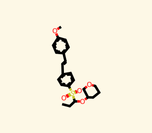 CCC(OC1CCCOC1)S(=O)(=O)c1ccc(C=Cc2ccc(OC)cc2)cc1